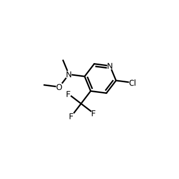 CON(C)c1cnc(Cl)cc1C(F)(F)F